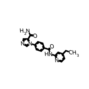 CCc1ccnc(NC(=O)c2ccc(-n3cncc3C(N)=O)cc2)c1